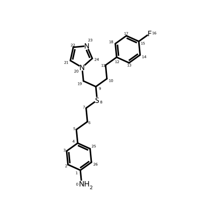 Nc1ccc(CCCSC(CCc2ccc(F)cc2)Cn2ccnc2)cc1